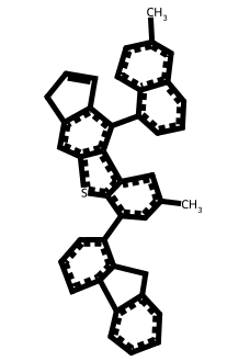 Cc1ccc2c(-c3c4c(cc5sc6c(-c7cccc8c7Cc7ccccc7-8)cc(C)cc6c35)CC=C4)cccc2c1